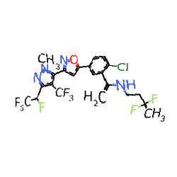 C=C(NCCC(C)(F)F)c1cc(-c2cc(-c3c(C(F)(F)F)c(C(F)C(F)(F)F)nn3C)no2)ccc1Cl